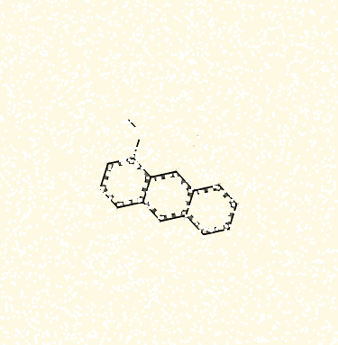 O=COc1cccc2cc3ccccc3cc12.[RbH]